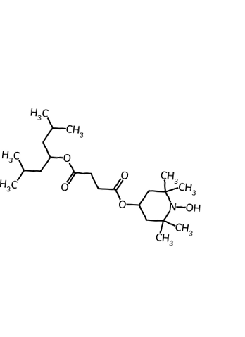 CC(C)CC(CC(C)C)OC(=O)CCC(=O)OC1CC(C)(C)N(O)C(C)(C)C1